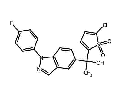 O=S1(=O)C(Cl)=CC=C1C(O)(c1ccc2c(cnn2-c2ccc(F)cc2)c1)C(F)(F)F